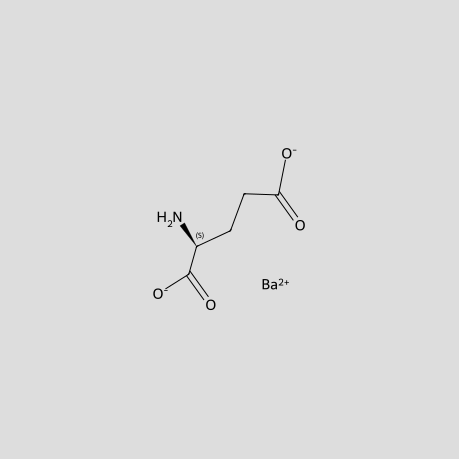 N[C@@H](CCC(=O)[O-])C(=O)[O-].[Ba+2]